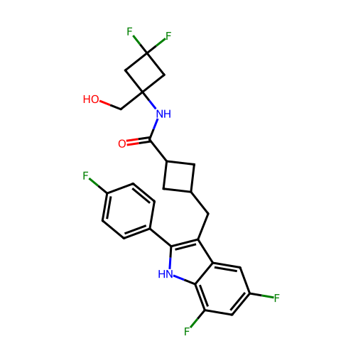 O=C(NC1(CO)CC(F)(F)C1)C1CC(Cc2c(-c3ccc(F)cc3)[nH]c3c(F)cc(F)cc23)C1